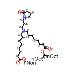 CCCCCCCCCOC(=O)CCCCCCCN(CCCCCCCC(=O)OC(CCCCCCCC)CCCCCCCC)CCCN1CCCC1=O